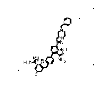 COc1c(Cc2ccc(-c3ncc(-c4cc5n(n4)CCN(Cc4ccccc4)C5)c4[nH]nc(N)c34)cc2)cc(F)cc1C(N)=O